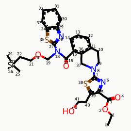 CCOC(=O)c1nc(N2CCc3cccc(C(=O)N(COCC[Si](C)(C)C)c4nc5ccccc5s4)c3C2)sc1CCO